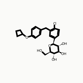 OC[C@H]1O[C@@H](c2ccc(Cl)c(Cc3ccc(OC4CCC4)cc3)c2)[C@H](O)[C@@H](O)[C@@H]1O